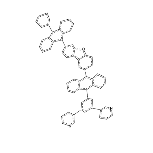 c1ccc(-c2c3ccccc3c(-c3ccc4c(c3)oc3ccc(-c5c6ccccc6c(-c6cc(-c7cccnc7)cc(-c7cccnc7)c6)c6ccccc56)cc34)c3ccccc23)cc1